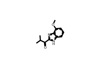 COc1cccc2[nH]c(C(=O)C(C)C)nc12